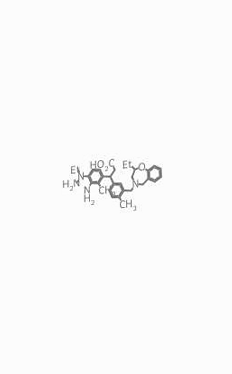 CCC1CN(Cc2cc(C(CC(=O)O)c3ccc(N(N)CC)c(N)c3C)ccc2C)Cc2ccccc2O1